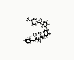 CN(C)C1CCN(C(=O)Nc2cc(Oc3ccc(NC(=O)NC(=O)Cc4ccccc4)cc3F)ccn2)CC1